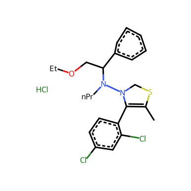 CCCN(C(COCC)c1ccccc1)N1CSC(C)=C1c1ccc(Cl)cc1Cl.Cl